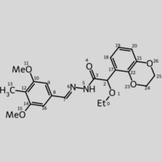 CCOC(C(=O)N/N=C/c1cc(OC)c(C)c(OC)c1)c1cccc2c1OCCO2